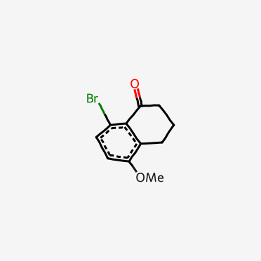 COc1ccc(Br)c2c1CCCC2=O